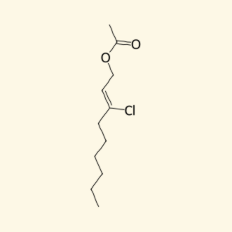 CCCCCCC(Cl)=CCOC(C)=O